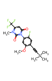 COc1cc(-n2c(=O)cc(C(F)(F)F)n(C)c2=O)c(F)cc1C#C[Si](C)(C)C